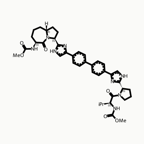 COC(=O)N[C@H]1CCC[C@@H]2CC[C@@H](c3nc(-c4ccc(-c5ccc(-c6c[nH]c([C@@H]7CCCN7C(=O)[C@@H](NC(=O)OC)C(C)C)n6)cc5)cc4)c[nH]3)N2C1=O